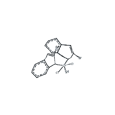 [SH][Zr]([Cl])([Cl])([CH]1C(Br)=Cc2ccccc21)[CH]1C(Br)=Cc2ccccc21